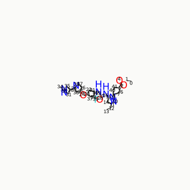 CCOC(=O)c1ccc(-n2nc(CC)cc2NC(=O)Nc2ccc(Oc3ccnc(-c4cnn(C)c4)c3)cc2F)cc1